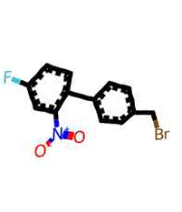 O=[N+]([O-])c1cc(F)ccc1-c1ccc(CBr)cc1